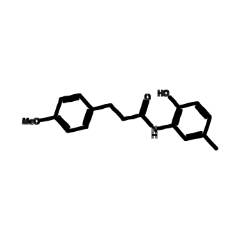 COc1ccc(CCC(=O)Nc2cc(C)ccc2O)cc1